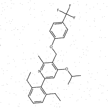 CCc1cccc(CC)c1-c1cc(OC(C)C)c(COc2ccc(C(F)(F)F)cc2)c(C)n1